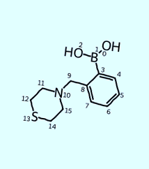 OB(O)c1ccccc1CN1CCSCC1